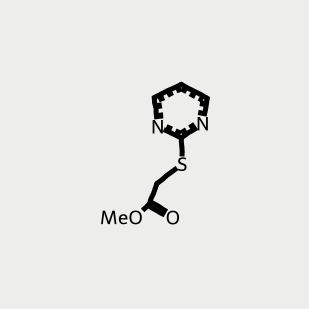 COC(=O)CSc1ncccn1